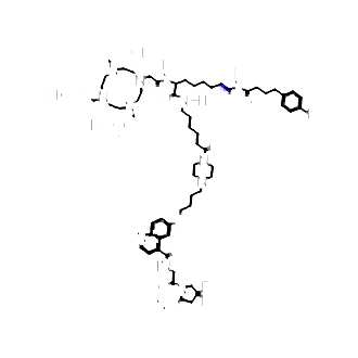 C/C(=C\CCCCC(NC(=O)CN1CCN(CC(=O)O)CCN(CC(=O)O)CCN(CC(=O)O)CC1)C(=O)NCCCCCC(=O)N1CCN(CCCCOc2ccc3nccc(C(=O)NCC(=O)N4CC(F)(F)C[C@@H]4C#N)c3c2)CC1)NC(=O)CCCc1ccc(I)cc1